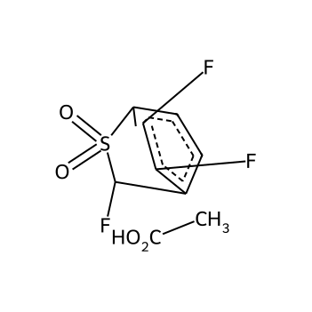 CC(=O)O.O=S1(=O)c2ccc(c(F)c2F)C1F